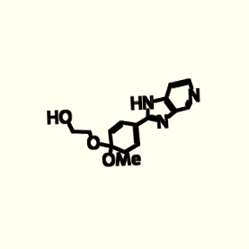 COC1(OCCO)C=CC(c2nc3cnccc3[nH]2)=CC1